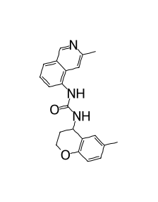 Cc1ccc2c(c1)C(NC(=O)Nc1cccc3cnc(C)cc13)CCO2